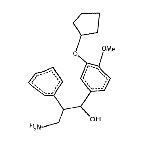 COc1ccc(C(O)C(CN)c2ccccc2)cc1OC1CCCC1